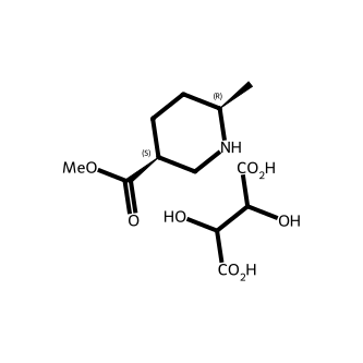 COC(=O)[C@H]1CC[C@@H](C)NC1.O=C(O)C(O)C(O)C(=O)O